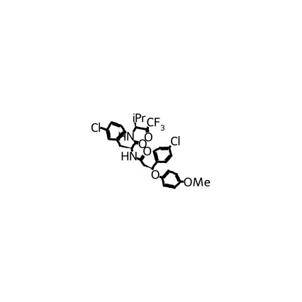 COc1ccc(O[C@@H](CC(=O)N[C@@H](Cc2cccc(Cl)c2)C(=O)N[C@H](C(=O)C(F)(F)F)C(C)C)c2ccc(Cl)cc2)cc1